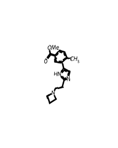 COC(=O)c1ccc(C)c(-c2cnc(CCN3CCC3)[nH]2)c1